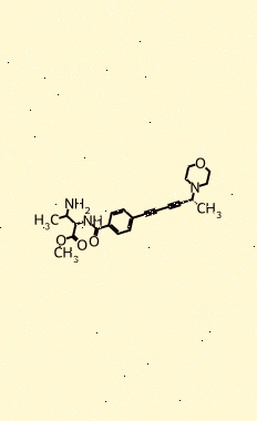 COC(=O)C(NC(=O)c1ccc(C#CC#C[C@@H](C)N2CCOCC2)cc1)C(C)N